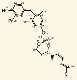 C=C(/C=C\C=C(/C)Cl)[C@@H]1CCO[P@](=O)(COc2cc(C)c(Cc3ccc(O)c(C(C)C)c3)c(C)c2)O1